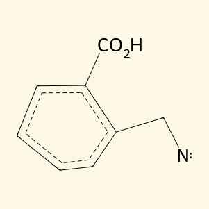 [N]Cc1ccccc1C(=O)O